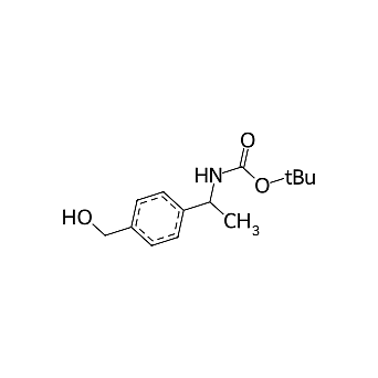 CC(NC(=O)OC(C)(C)C)c1ccc(CO)cc1